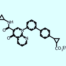 CCOC(=O)C1CC1c1ccc(-c2cccc(-n3cc(C(=O)NC4CC4)c(=O)c4cccnc43)c2)cc1